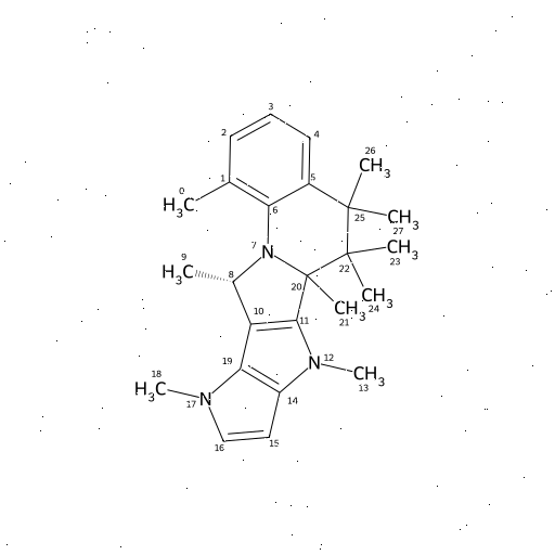 Cc1cccc2c1N1[C@@H](C)c3c(n(C)c4ccn(C)c34)C1(C)C(C)(C)C2(C)C